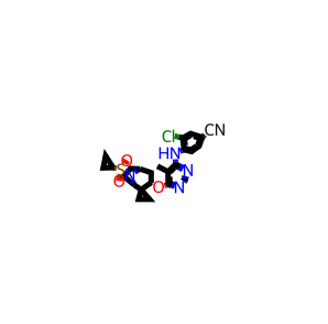 Cc1c(Nc2ccc(C#N)cc2Cl)ncnc1OC1CC2CCC(N2S(=O)(=O)C2CC2)C12CC2